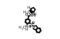 CNc1ccc(C(=O)N[C@H]2C[C@H]3CC[C@@H]2C3(C)C)cc1S(=O)(=O)N1Cc2ccccc2C1